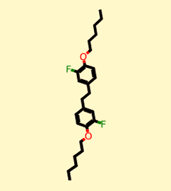 CCCCCCOc1ccc(CCc2ccc(OCCCCCC)c(F)c2)cc1F